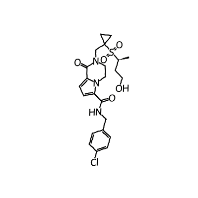 C[C@@H](CCO)S(=O)(=O)C1(CN2CCn3c(C(=O)NCc4ccc(Cl)cc4)ccc3C2=O)CC1